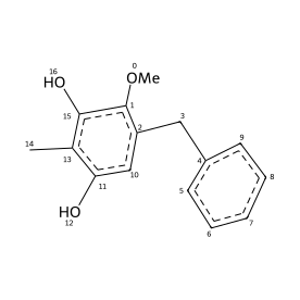 COc1c(Cc2ccccc2)cc(O)c(C)c1O